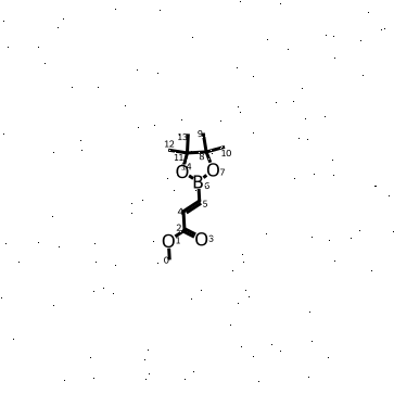 COC(=O)C=CB1OC(C)(C)C(C)(C)O1